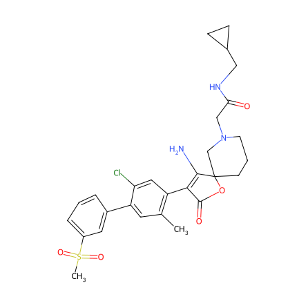 Cc1cc(-c2cccc(S(C)(=O)=O)c2)c(Cl)cc1C1=C(N)C2(CCCN(CC(=O)NCC3CC3)C2)OC1=O